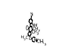 Cc1cc2c(cc1OC1CCN(C)CC1)C(C)(C)c1[nH]c3cc(C#N)ccc3c1C2=O